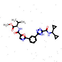 COC(=O)[C@@H](NC(=O)c1cnc(-c2cccc(-c3nnc(C(=O)NC(C4CC4)C4CC4)[nH]3)c2)o1)C(C)C